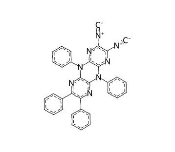 [C-]#[N+]c1nc2c(nc1[N+]#[C-])N(c1ccccc1)c1nc(-c3ccccc3)c(-c3ccccc3)nc1N2c1ccccc1